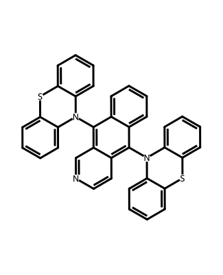 c1ccc2c(c1)Sc1ccccc1N2c1c2ccccc2c(N2c3ccccc3Sc3ccccc32)c2cnccc12